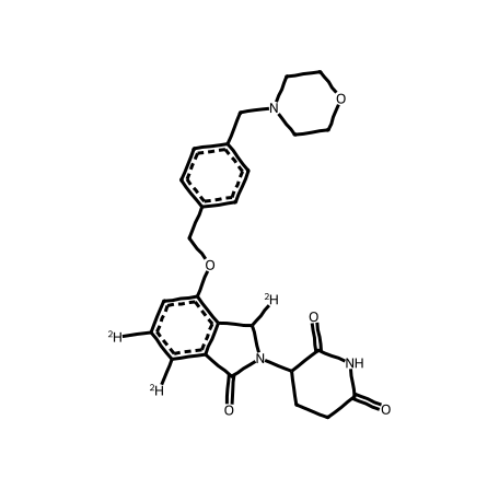 [2H]c1cc(OCc2ccc(CN3CCOCC3)cc2)c2c(c1[2H])C(=O)N(C1CCC(=O)NC1=O)C2[2H]